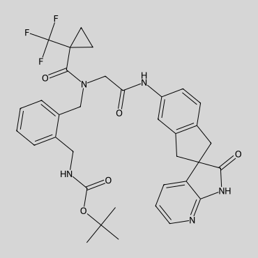 CC(C)(C)OC(=O)NCc1ccccc1CN(CC(=O)Nc1ccc2c(c1)CC1(C2)C(=O)Nc2ncccc21)C(=O)C1(C(F)(F)F)CC1